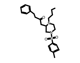 CCCCN1CCN(S(=O)(=O)c2ccc(C)cc2)CC1CC(=O)CCc1ccccc1